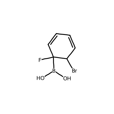 OB(O)C1(F)C=CC=CC1Br